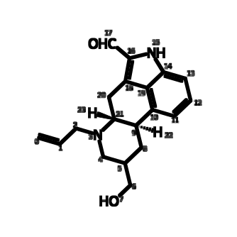 C=CCN1CC(CO)C[C@@H]2c3cccc4[nH]c(C=O)c(c34)C[C@H]21